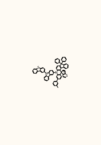 Cc1cccc(-c2ccc3c(c2)N(c2ccc4c(c2)c2ccccc2n4-c2ccc4sc5ccccc5c4c2)c2ccc4c(c2C32c3ccsc3-c3sccc32)-c2ccccc2C4(c2ccccc2)c2ccccc2)c1